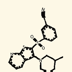 CC1CCCN(c2c(S(=O)(=O)c3cccc(C#N)c3)sc3ncccc23)C1